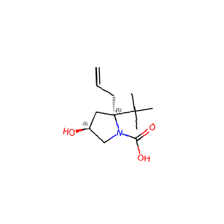 C=CC[C@@]1(C(C)(C)C)C[C@H](O)CN1C(=O)O